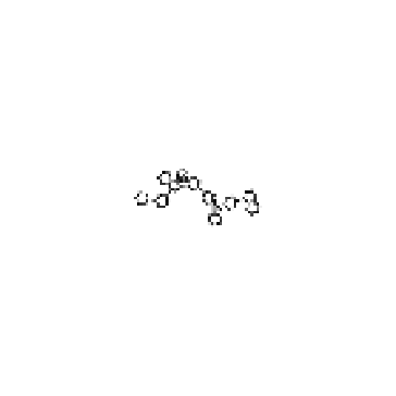 c1ccc(-c2cccc(-c3cc4c5cc(-c6ccc(N(c7ccccc7)c7ccc(-c8cccc9ccccc89)cc7)cc6)ccc5oc4c4ccccc34)c2)cc1